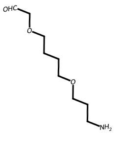 NCCCOCCCCOCC=O